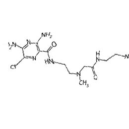 CN(CCNC(=O)c1nc(Cl)c(N)nc1N)CC(=O)NCCN